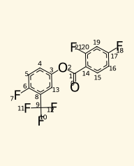 O=C(Oc1ccc(F)c(C(F)(F)F)c1)c1ccc(F)cc1F